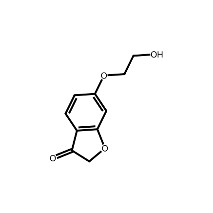 O=C1COc2cc(OCCO)ccc21